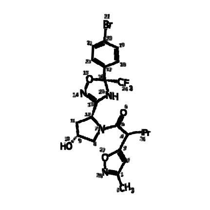 Cc1cc(C(C(=O)N2C[C@H](O)C[C@H]2C2=NO[C@@](c3ccc(Br)cc3)(C(F)(F)F)N2)C(C)C)on1